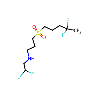 O=S(=O)(CCCNCC(F)F)CCCC(F)(F)C(F)(F)F